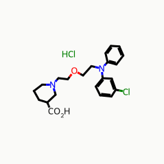 Cl.O=C(O)C1CCCN(CCOCCN(c2ccccc2)c2cccc(Cl)c2)C1